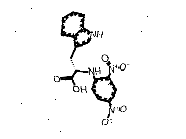 O=C(O)[C@H](Cc1c[nH]c2ccccc12)Nc1ccc([N+](=O)[O-])cc1[N+](=O)[O-]